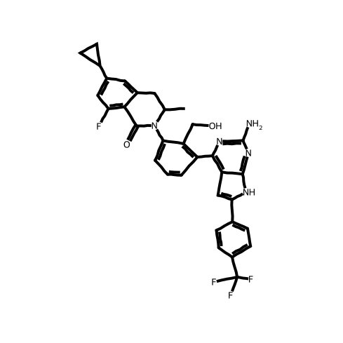 CC1Cc2cc(C3CC3)cc(F)c2C(=O)N1c1cccc(-c2nc(N)nc3[nH]c(-c4ccc(C(F)(F)F)cc4)cc23)c1CO